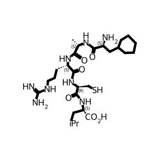 CC(C)C[C@H](NC(=O)[C@H](CS)NC(=O)[C@H](CCCNC(=N)N)NC(=O)[C@H](C)NC(=O)[C@@H](N)CC1CCCCC1)C(=O)O